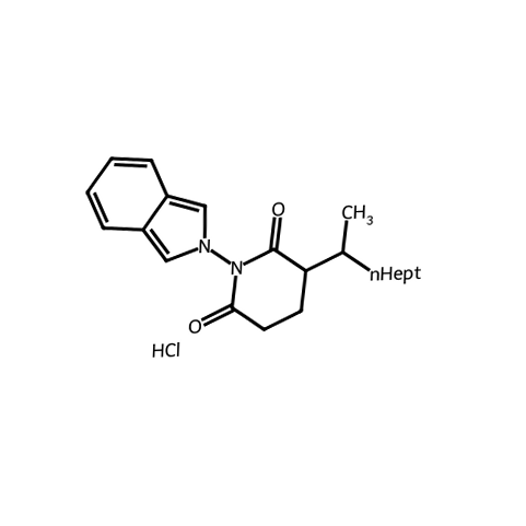 CCCCCCCC(C)C1CCC(=O)N(n2cc3ccccc3c2)C1=O.Cl